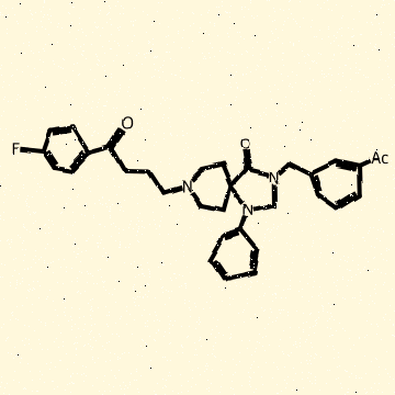 CC(=O)c1cccc(CN2CN(c3ccccc3)C3(CCN(CCCC(=O)c4ccc(F)cc4)CC3)C2=O)c1